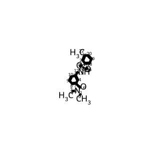 CCN(CC)C(=O)c1cccc(CNS(=O)(=O)c2cccc(C)c2)c1